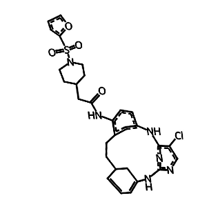 O=C(CC1CCN(S(=O)(=O)c2ccco2)CC1)Nc1ccc2cc1CCC1C=CC=C(C1)Nc1ncc(Cl)c(n1)N2